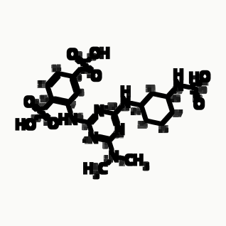 CN(C)c1nc(Nc2cc(S(=O)(=O)O)ccc2S(=O)(=O)O)nc(NC2CCCC(N[SH](=O)=O)C2)n1